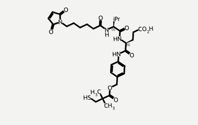 CC(C)[C@H](NC(=O)CCCCCN1C(=O)C=CC1=O)C(=O)N[C@@H](CCC(=O)O)C(=O)Nc1ccc(COC(=O)C(C)(C)CS)cc1